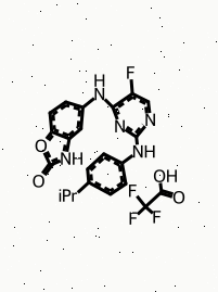 CC(C)c1ccc(Nc2ncc(F)c(Nc3ccc4oc(=O)[nH]c4c3)n2)cc1.O=C(O)C(F)(F)F